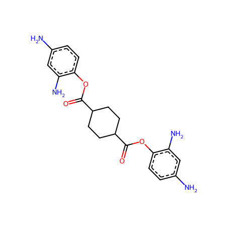 Nc1ccc(OC(=O)C2CCC(C(=O)Oc3ccc(N)cc3N)CC2)c(N)c1